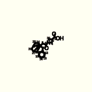 O=C(O)C1CN(C(=O)CC2(Cc3ccccc3)C3CC4CC(C3)CC2C4)C1